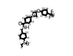 CC[S+]([O-])c1ccc(CNC(=O)c2ccc(N3CC(Oc4ccc(C(F)(F)F)cc4)C3)cc2)cc1